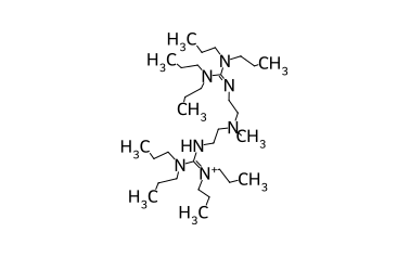 CCCN(CCC)C(=NCCN(C)CCNC(N(CCC)CCC)=[N+](CCC)CCC)N(CCC)CCC